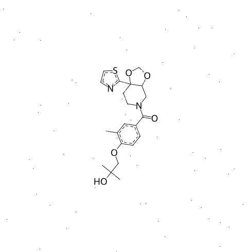 Cc1cc(C(=O)N2CCC3(c4nccs4)OCOC3C2)ccc1OCC(C)(C)O